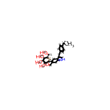 CCc1ccc(Cc2c[nH]c3cc4c(cc23)[C@]2(OC4)S[C@H](CO)[C@@H](O)[C@H](O)[C@H]2O)cc1